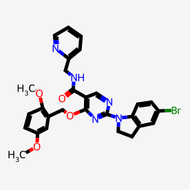 COc1ccc(OC)c(COc2nc(N3CCc4cc(Br)ccc43)ncc2C(=O)NCc2ccccn2)c1